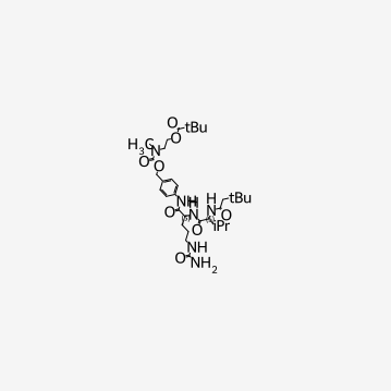 CC(C)[C@H](NC(=O)CC(C)(C)C)C(=O)N[C@@H](CCCNC(N)=O)C(=O)Nc1ccc(COC(=O)N(C)CCOC(=O)C(C)(C)C)cc1